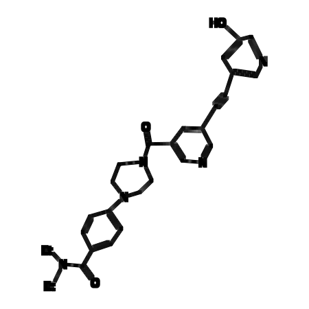 CCN(CC)C(=O)c1ccc(N2CCN(C(=O)c3cncc(C#Cc4cncc(O)c4)c3)CC2)cc1